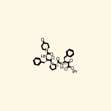 CC(C)OC(=O)C(=O)[C@H](Cc1ccccc1)NC(=O)[C@@H]1CCCN1C(=O)[C@H](Cc1ccccc1)NC(=O)N1CCC(=O)CC1